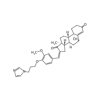 COc1cc(/C=C2/C[C@H]3[C@@H]4CCC5=CC(=O)CC[C@]5(C)[C@H]4CC[C@]3(C)C2=O)ccc1OCCCn1ccnc1